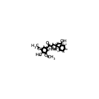 COc1cc(C(=O)C2CC(CCO)(c3ccccc3)CN2)cc(OC)c1O